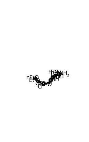 CCCN(CC)C(=O)COC(=O)COc1ccc(CCC(=O)N2CCC3(CC2)CN/C(=N\C(=O)c2nc(Cl)c(N)nc2N)N3)cc1Cl